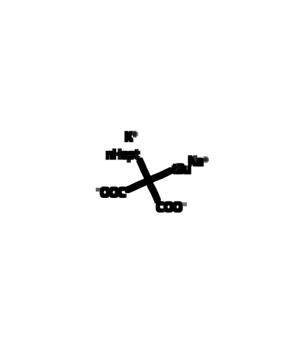 CCCCCCCC(C(=O)[O-])(C(=O)[O-])C(C)(C)C.[K+].[Na+]